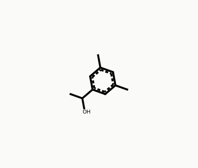 Cc1cc(C)cc(C(C)O)c1